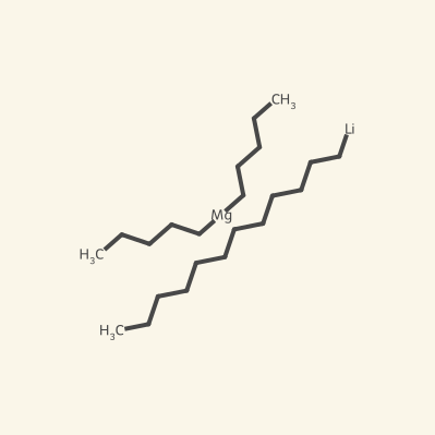 CCCC[CH2][Mg][CH2]CCCC.[Li][CH2]CCCCCCCCCCC